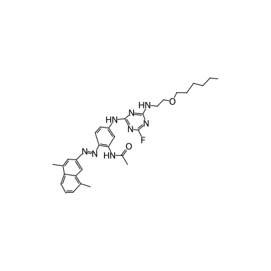 CCCCCCOCCNc1nc(F)nc(Nc2ccc(N=Nc3cc(C)c4cccc(C)c4c3)c(NC(C)=O)c2)n1